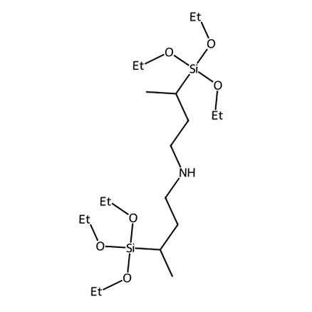 CCO[Si](OCC)(OCC)C(C)CCNCCC(C)[Si](OCC)(OCC)OCC